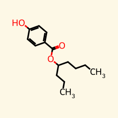 CCCCC(CCC)OC(=O)c1ccc(O)cc1